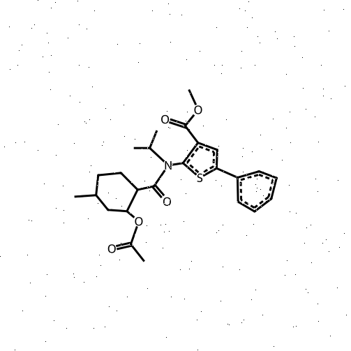 COC(=O)c1cc(-c2ccccc2)sc1N(C(=O)C1CCC(C)CC1OC(C)=O)C(C)C